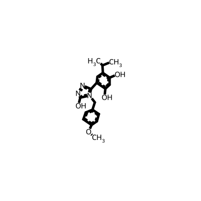 COc1ccc(Cn2c(O)nnc2-c2cc(C(C)C)c(O)cc2O)cc1